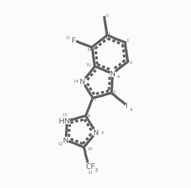 Cc1ccn2c(I)c(-c3nc(C(F)(F)F)n[nH]3)nc2c1F